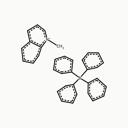 C[n+]1cccc2ccccc21.c1ccc([B-](c2ccccc2)(c2ccccc2)c2ccccc2)cc1